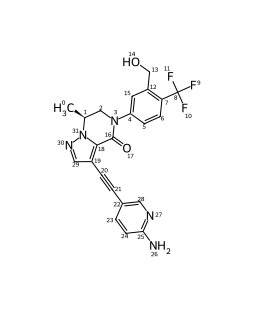 C[C@H]1CN(c2ccc(C(F)(F)F)c(CO)c2)C(=O)c2c(C#Cc3ccc(N)nc3)cnn21